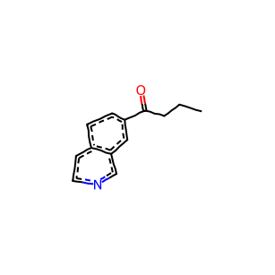 CCCC(=O)c1ccc2ccncc2c1